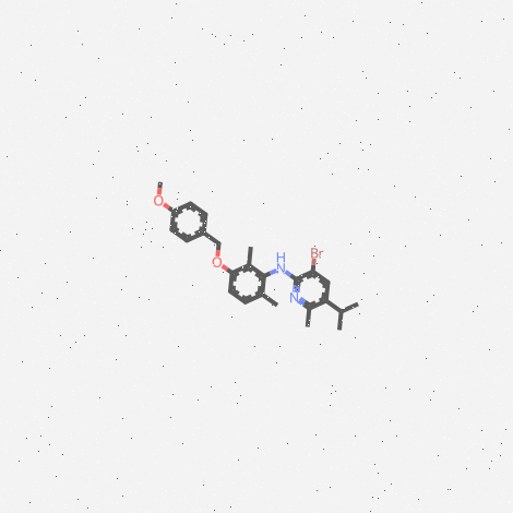 COc1ccc(COc2ccc(C)c(Nc3nc(C)c(C(C)C)cc3Br)c2C)cc1